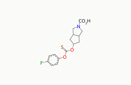 O=C(O)N1CC2CC(OC(=S)Oc3ccc(F)cc3)CC2C1